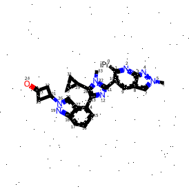 CC(C)c1nc2nn(C)cc2cc1-c1nc(-c2cccc3nn(C4CC(=O)C4)cc23)c(C2CC2)n1C